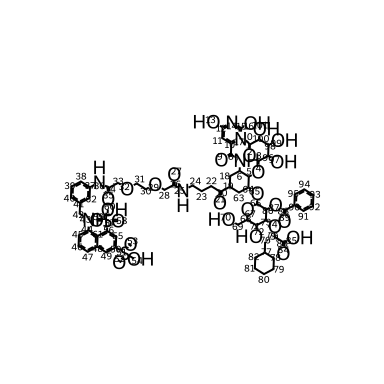 CC1OC(OC2C(NC(=O)c3cc(O)nc(O)n3)CC(C(=O)CCCNC(=O)COCCOCC(=O)Nc3cccc(CNc4cccc5cc(S(=O)(=O)O)cc(S(=O)(=O)O)c45)c3)CC2OC2OC(CO)C(O)C(O[C@@H](CC3CCCCC3)C(=O)O)C2OC(=O)c2ccccc2)C(O)C(O)C1O